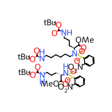 COC(=O)[C@H](CCCNC(=O)OC(C)(C)C)N(CCCCCCNC(=O)OC(C)(C)C)S(=O)(=O)c1ccccc1[N+](=O)[O-].COC(=O)[C@H](CCCNC(=O)OC(C)(C)C)NS(=O)(=O)c1ccccc1[N+](=O)[O-]